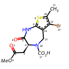 COC(=O)C[C@H]1C(=O)Nc2sc(C)c(Br)c2CN1C(=O)O